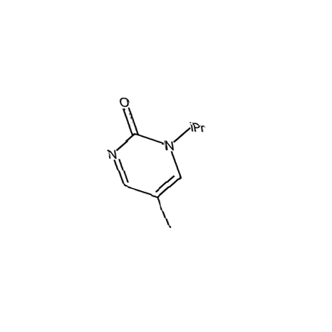 Cc1cnc(=O)n(C(C)C)c1